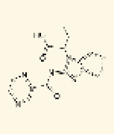 CCC(C(=O)O)n1c(=NC(=O)c2cnccn2)sc2ccccc21